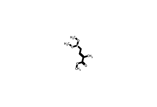 COC(=O)C(C)=CCP(OC)OC